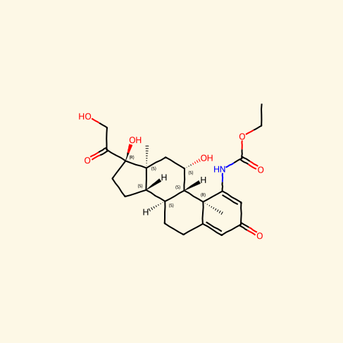 CCOC(=O)NC1=CC(=O)C=C2CC[C@@H]3[C@H]([C@@H](O)C[C@@]4(C)[C@H]3CC[C@]4(O)C(=O)CO)[C@]21C